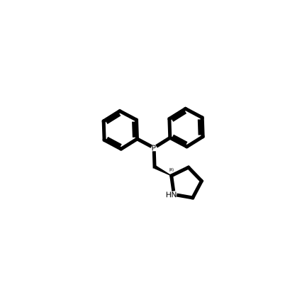 c1ccc(P(C[C@H]2CCCN2)c2ccccc2)cc1